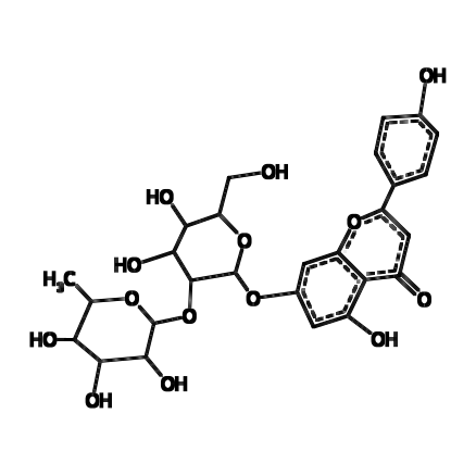 CC1OC(OC2C(Oc3cc(O)c4c(=O)cc(-c5ccc(O)cc5)oc4c3)OC(CO)C(O)C2O)C(O)C(O)C1O